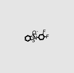 [O-][S+]1c2ccccc2SN1c1ccc(F)c(F)c1